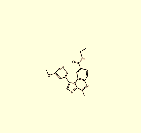 CCNC(=O)c1ccc2nc(C)c3nnc(-c4cncc(OC)c4)n3c2c1